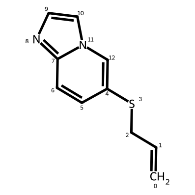 C=CCSc1ccc2nccn2c1